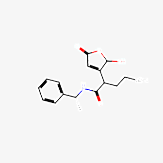 CCCCCCCCCCCCC(C(=O)N[C@H](C)c1ccccc1)C1=CC(=O)OC1O